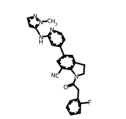 Cn1nccc1Nc1cc(-c2cc(C#N)c3c(c2)CCN3C(=O)Cc2ccccc2F)ccn1